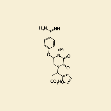 CCCN1C(=O)C(=O)N(C(CC(=O)O)c2ccco2)CC1Oc1ccc(C(=N)N)cc1